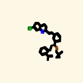 C=C(C)c1ccccc1CC[C@@H](SCC1(C)CC1)c1cccc(/C=C/c2ccc3ccc(Cl)cc3n2)c1